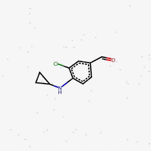 O=Cc1ccc(NC2CC2)c(Cl)c1